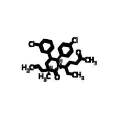 C=CC[C@@]1(C)CC(c2cccc(Cl)c2)[C@@H](c2ccc(Cl)cc2)N(C(CC)CCC(C)=O)C1=O